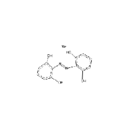 Oc1cccc(O)c1N=Nc1c(O)cccc1O.[Na]